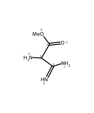 COC(=O)C(N)C(=N)N